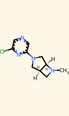 CN1C[C@H]2CN(c3cncc(Cl)n3)C[C@H]21